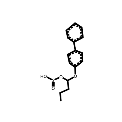 CCCC(Oc1ccc(-c2ccccc2)cc1)OS(=O)O